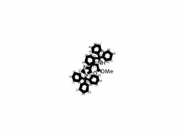 COC(=O)C(Cc1cn(C(c2ccccc2)(c2ccccc2)c2ccccc2)cn1)NC(c1ccccc1)(c1ccccc1)c1ccccc1